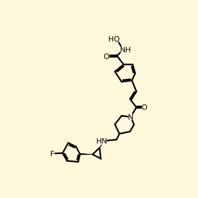 O=C(NO)c1ccc(/C=C/C(=O)N2CCC(CN[C@@H]3C[C@H]3c3ccc(F)cc3)CC2)cc1